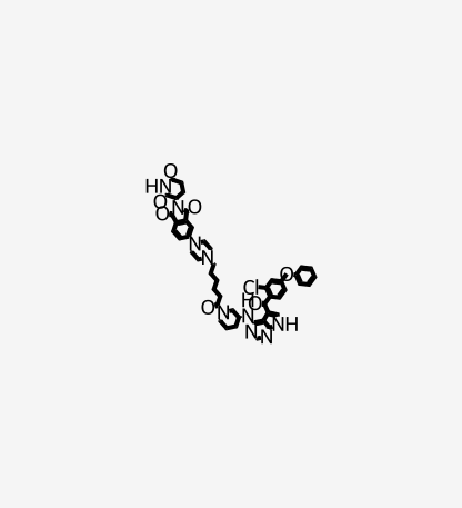 O=C1CCC(N2C(=O)c3ccc(N4CCN(CCCCCC(=O)N5CCC[C@@H](Nc6ncnc7[nH]cc(C(=O)c8ccc(Oc9ccccc9)cc8Cl)c67)C5)CC4)cc3C2=O)C(=O)N1